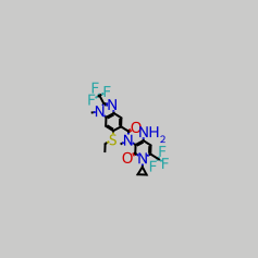 CCSc1cc2c(cc1C(=O)N(C)c1c(N)cc(C(F)(F)F)n(C3CC3)c1=O)nc(C(F)(F)F)n2C